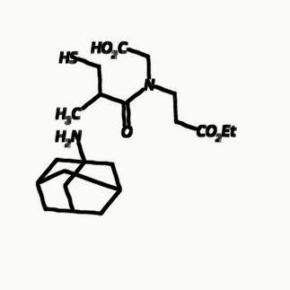 CCOC(=O)CCN(CC(=O)O)C(=O)C(C)CS.NC12CC3CC(CC(C3)C1)C2